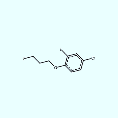 Clc1ccc(OCCCI)c(I)c1